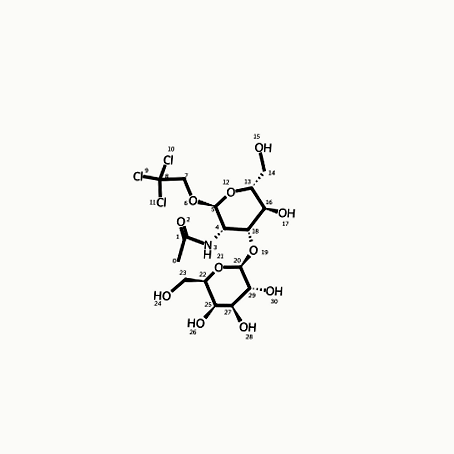 CC(=O)N[C@@H]1[C@@H](OCC(Cl)(Cl)Cl)O[C@H](CO)[C@@H](O)[C@@H]1O[C@@H]1O[C@H](CO)[C@H](O)[C@H](O)[C@H]1O